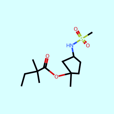 CCC(C)(C)C(=O)OC1(C)CCC(NS(C)(=O)=O)C1